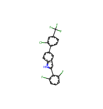 Fc1cccc(F)c1-c1cc2cc(-c3ccc(C(F)(F)F)cc3Cl)ccc2[nH]1